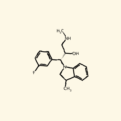 CNCC(O)[C@@H](c1cccc(F)c1)N1CC(C)c2ccccc21